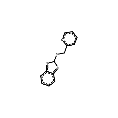 c1ccc(CS[C]2N=c3ccccc3=N2)nc1